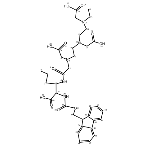 CCCC(NC(=O)CN(CCN(CCN(CC)CC(=O)O)CC(=O)O)CC(=O)O)C(NC(=O)OCC1c2ccccc2-c2ccccc21)C(=O)O